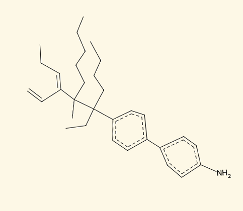 C=C/C(=C\CC)C(C)(CCCCC)C(CC)(CCCC)c1ccc(-c2ccc(N)cc2)cc1